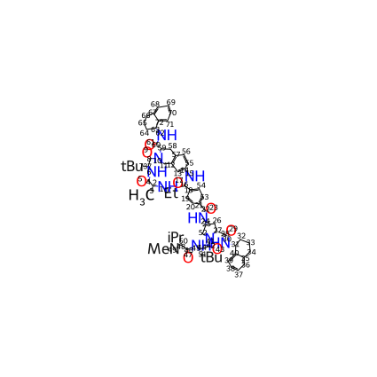 CCN[C@@H](C)C(=O)N[C@H](C(=O)N1Cc2cc(NC(=O)c3ccc(C(=O)N[C@H]4C[C@@H](C(=O)N[C@@H]5CCCc6ccccc65)N(C(=O)[C@@H](NC(=O)[C@@H](NC)C(C)C)C(C)(C)C)C4)cc3)ccc2C[C@H]1C(=O)N[C@@H]1CCCc2ccccc21)C(C)(C)C